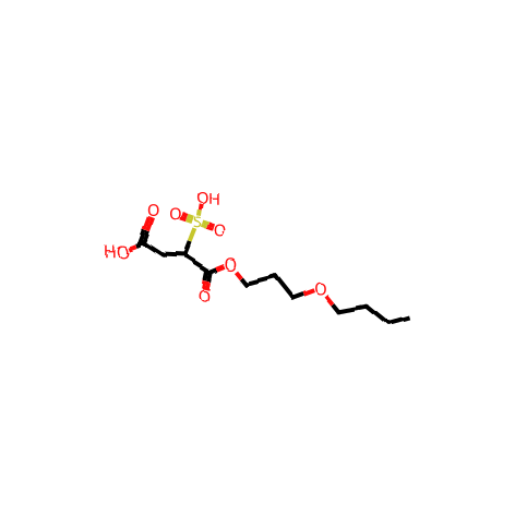 CCCCOCCCOC(=O)C(CC(=O)O)S(=O)(=O)O